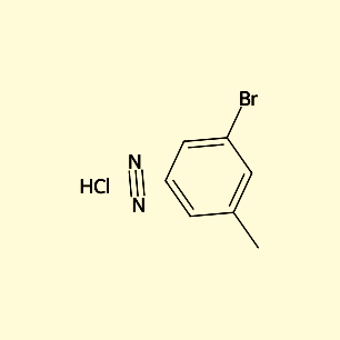 Cc1cccc(Br)c1.Cl.N#N